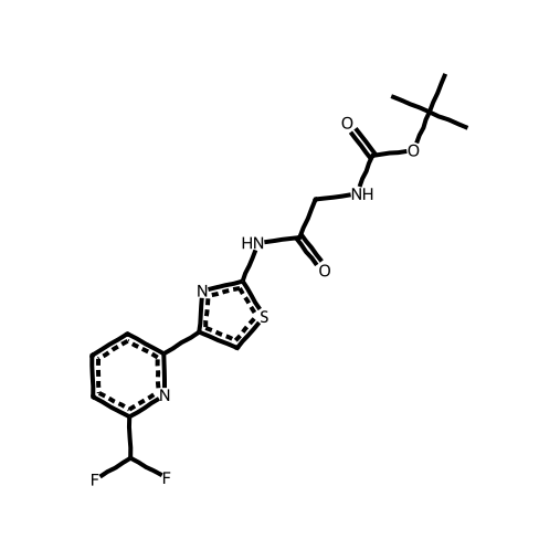 CC(C)(C)OC(=O)NCC(=O)Nc1nc(-c2cccc(C(F)F)n2)cs1